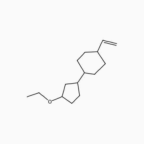 C=CC1CCC(C2CCC(OCC)C2)CC1